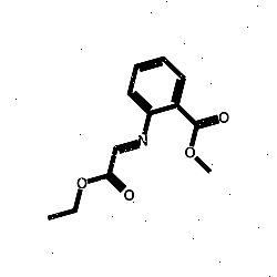 CCOC(=O)C=Nc1ccccc1C(=O)OC